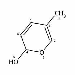 CC1=COC(O)[C]=C1